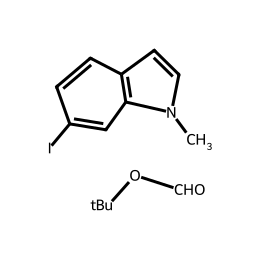 CC(C)(C)OC=O.Cn1ccc2ccc(I)cc21